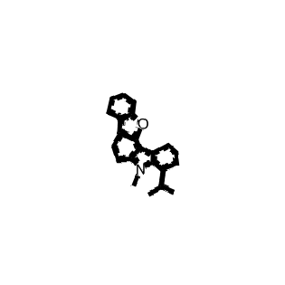 CC(C)c1cccc2c3c4oc5ccccc5c4ccc3n(C)c12